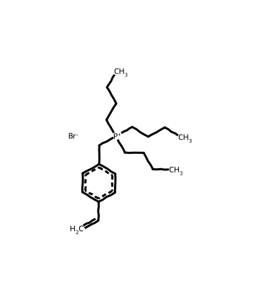 C=Cc1ccc(C[P+](CCCC)(CCCC)CCCC)cc1.[Br-]